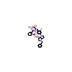 CC(C)(C)OC(=O)N1C2CCC(C2)C1C(=O)N[C@@H](Cc1ccc(N2CCC3C2CCN3Cc2ccccc2)cc1F)C(N)=O